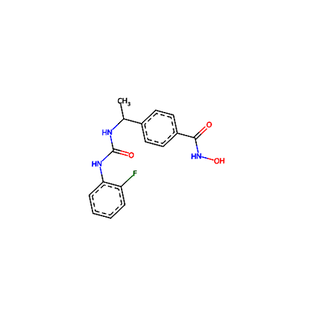 CC(NC(=O)Nc1ccccc1F)c1ccc(C(=O)NO)cc1